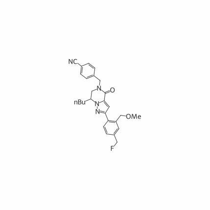 CCCCC1CN(Cc2ccc(C#N)cc2)C(=O)c2cc(-c3ccc(CF)cc3COC)nn21